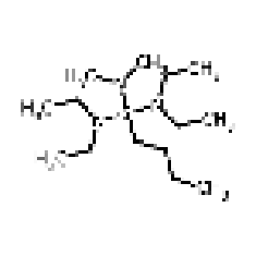 CCCC[Si](N(C)C)(N(CC)CC)N(CC)CC